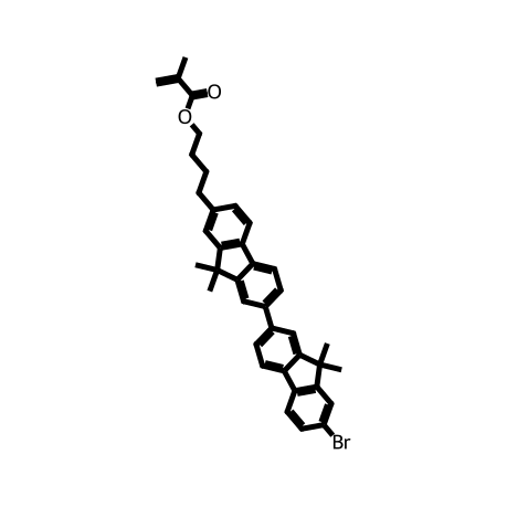 C=C(C)C(=O)OCCCCc1ccc2c(c1)C(C)(C)c1cc(-c3ccc4c(c3)C(C)(C)c3cc(Br)ccc3-4)ccc1-2